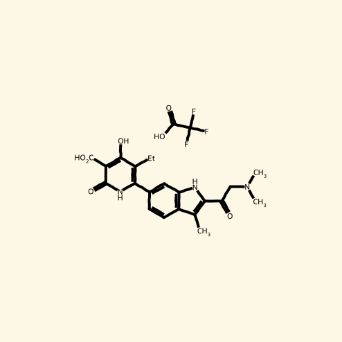 CCc1c(-c2ccc3c(C)c(C(=O)CN(C)C)[nH]c3c2)[nH]c(=O)c(C(=O)O)c1O.O=C(O)C(F)(F)F